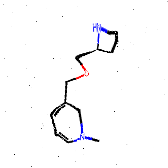 CN1C=CC=C(COC[C@@H]2CCN2)C1